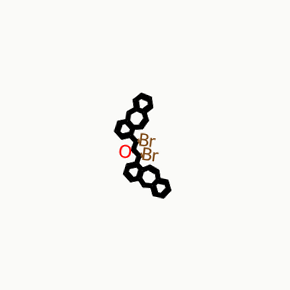 O=C(C(Br)c1cccc2c1C=Cc1ccccc1C2)C(Br)c1cccc2c1C=Cc1ccccc1C2